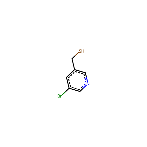 SCc1cncc(Br)c1